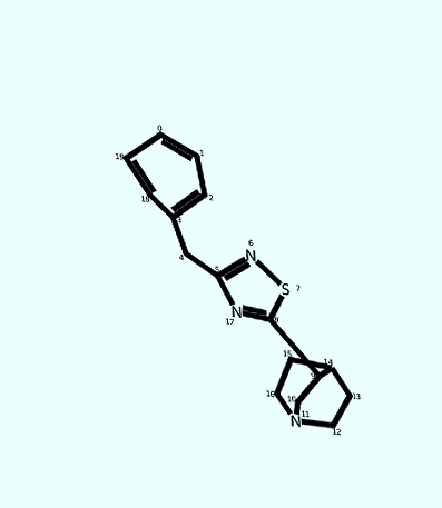 c1ccc(Cc2nsc(C3CN4CCC3CC4)n2)cc1